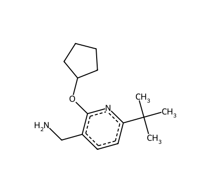 CC(C)(C)c1ccc(CN)c(OC2CCCC2)n1